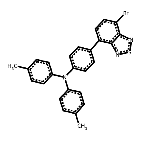 Cc1ccc(N(c2ccc(C)cc2)c2ccc(-c3ccc(Br)c4nsnc34)cc2)cc1